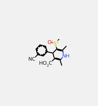 CC1=C(C(=O)O)C(c2cccc(C#N)c2)C([S+](C)[O-])=C(C)N1